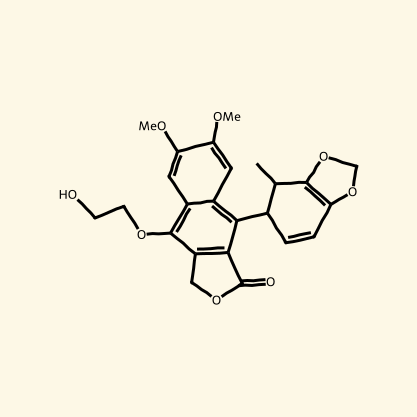 COc1cc2c(OCCO)c3c(c(C4C=CC5=C(OCO5)C4C)c2cc1OC)C(=O)OC3